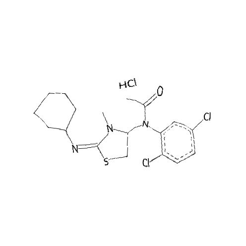 CC(=O)N(c1cc(Cl)ccc1Cl)C1CSC(=NC2CCCCC2)N1C.Cl